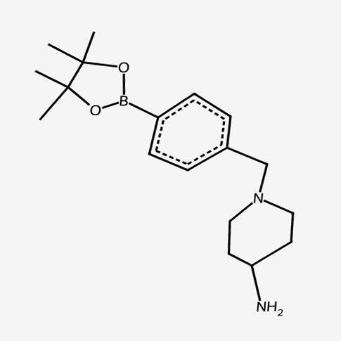 CC1(C)OB(c2ccc(CN3CCC(N)CC3)cc2)OC1(C)C